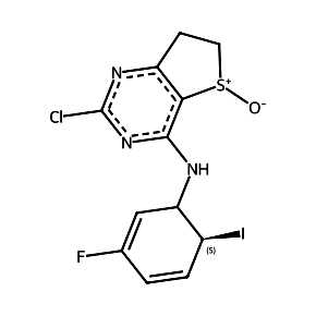 [O-][S+]1CCc2nc(Cl)nc(NC3C=C(F)C=C[C@@H]3I)c21